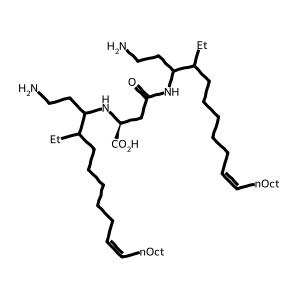 CCCCCCCC/C=C\CCCCCC(CC)C(CCN)NC(=O)C[C@H](NC(CCN)C(CC)CCCCC/C=C\CCCCCCCC)C(=O)O